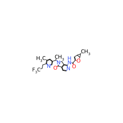 Cc1cc(C(C)N2Cc3c(ccnc3NC(=O)C3=CC4C(C)C4O3)C2=O)cnc1CCC(F)(F)F